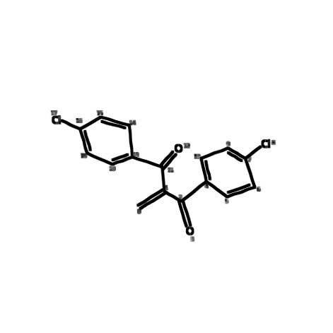 C=C(C(=O)c1ccc(Cl)cc1)C(=O)c1ccc(Cl)cc1